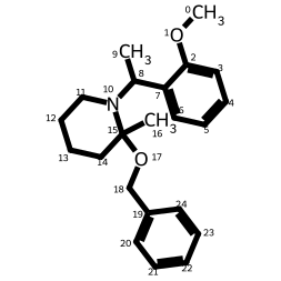 COc1ccccc1C(C)N1CCCCC1(C)OCc1ccccc1